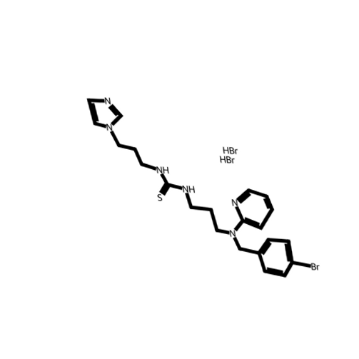 Br.Br.S=C(NCCCN(Cc1ccc(Br)cc1)c1ccccn1)NCCCn1ccnc1